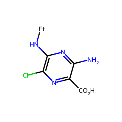 CCNc1nc(N)c(C(=O)O)nc1Cl